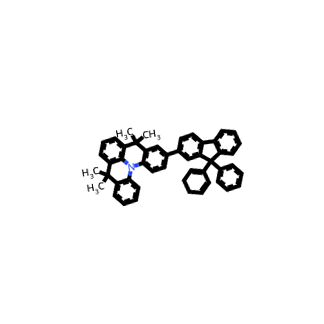 CC1(C)c2ccccc2N2c3ccc(-c4ccc5c(c4)C(C4=CCCC=C4)(c4ccccc4)c4ccccc4-5)cc3C(C)(C)c3cccc1c32